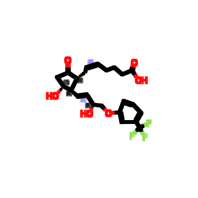 O=C(O)CCC/C=C\C[C@H]1C(=O)C[C@@H](O)[C@@H]1/C=C/[C@@H](O)COc1cccc(C(F)(F)F)c1